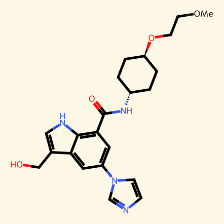 COCCO[C@H]1CC[C@H](NC(=O)c2cc(-n3ccnc3)cc3c(CO)c[nH]c23)CC1